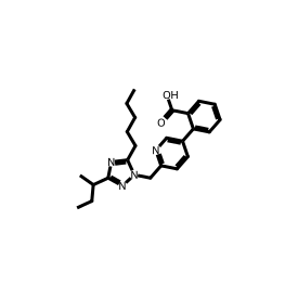 CCCCCc1nc(C(C)CC)nn1Cc1ccc(-c2ccccc2C(=O)O)cn1